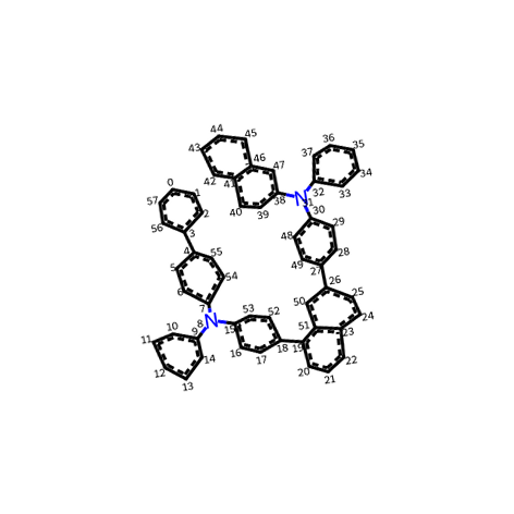 c1ccc(-c2ccc(N(c3ccccc3)c3ccc(-c4cccc5ccc(-c6ccc(N(c7ccccc7)c7ccc8ccccc8c7)cc6)cc45)cc3)cc2)cc1